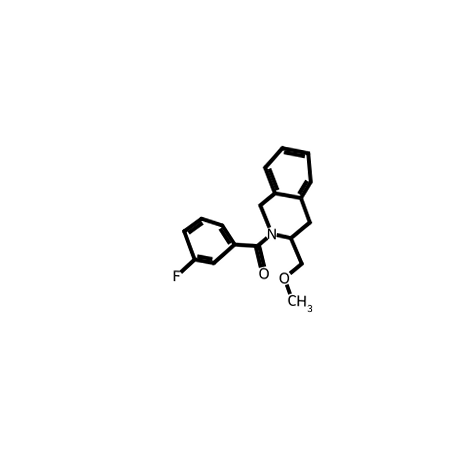 COCC1Cc2ccccc2CN1C(=O)c1cccc(F)c1